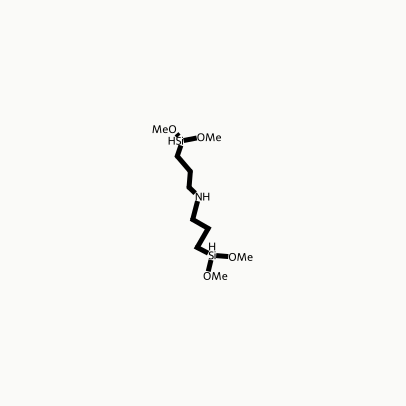 CO[SiH](CCCNCCC[SiH](OC)OC)OC